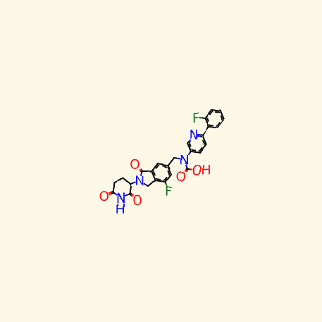 O=C1CCC(N2Cc3c(F)cc(CN(C(=O)O)c4ccc(-c5ccccc5F)nc4)cc3C2=O)C(=O)N1